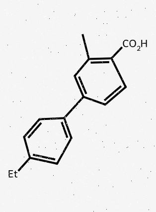 CCc1ccc(-c2ccc(C(=O)O)c(C)c2)cc1